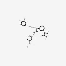 COC(=O)c1cncc(NC(=O)c2[nH]c3c(-c4c(C)nn(C)c4C)c(Cl)ccc3c2CCCOc2cc(C)c(Cl)c(C)c2)c1